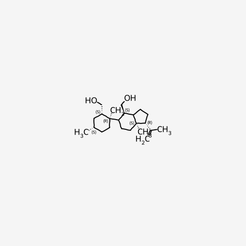 C=C(C)[C@H]1CCC2[C@H](CO)C([C@@]3(C)CC[C@H](C)C[C@@H]3CO)CC[C@@]21C